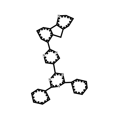 c1ccc(-c2nc(-c3ccccc3)nc(-c3cnc(-c4cccc5c4Cc4cccnc4-5)nc3)n2)cc1